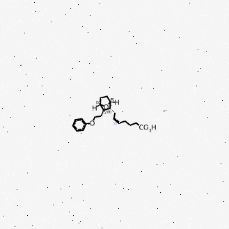 O=C(O)CCC/C=C\C[C@@H]1[C@@H](CCOc2ccccc2)[C@@H]2CC[C@H]1O2